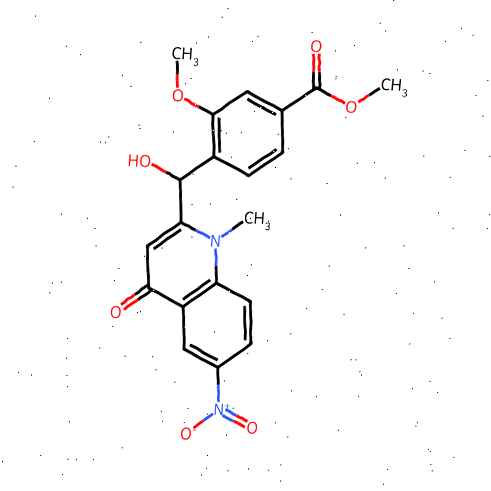 COC(=O)c1ccc(C(O)c2cc(=O)c3cc([N+](=O)[O-])ccc3n2C)c(OC)c1